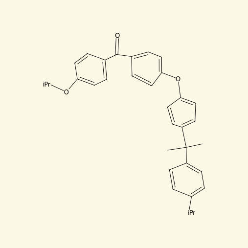 CC(C)Oc1ccc(C(=O)c2ccc(Oc3ccc(C(C)(C)c4ccc(C(C)C)cc4)cc3)cc2)cc1